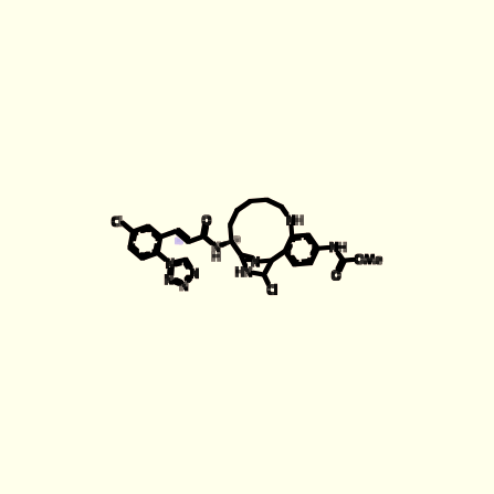 COC(=O)Nc1ccc2c(c1)NCCCCC[C@H](NC(=O)/C=C/c1cc(Cl)ccc1-n1cnnn1)C1=NC2C(Cl)N1